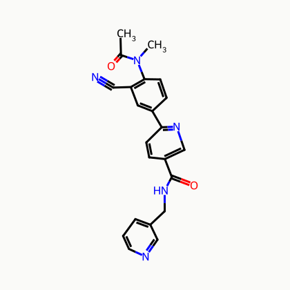 CC(=O)N(C)c1ccc(-c2ccc(C(=O)NCc3cccnc3)cn2)cc1C#N